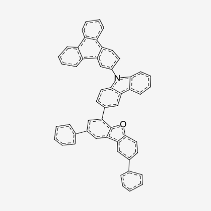 c1ccc(-c2ccc3oc4c(-c5ccc6c(c5)c5ccccc5n6-c5ccc6c7ccccc7c7ccccc7c6c5)cc(-c5ccccc5)cc4c3c2)cc1